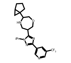 CC(C)n1nc(-c2cncc(C(F)(F)F)c2)nc1C1CNC(C23CCCC2C3)COC1